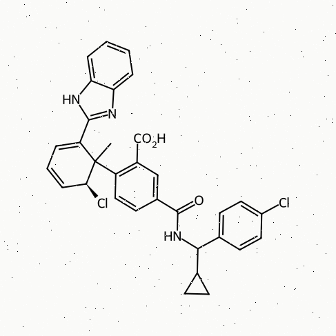 CC1(c2ccc(C(=O)NC(c3ccc(Cl)cc3)C3CC3)cc2C(=O)O)C(c2nc3ccccc3[nH]2)=CC=C[C@@H]1Cl